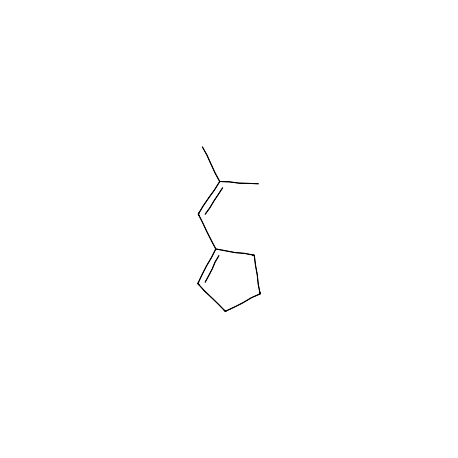 CC(C)=CC1=CCCC1